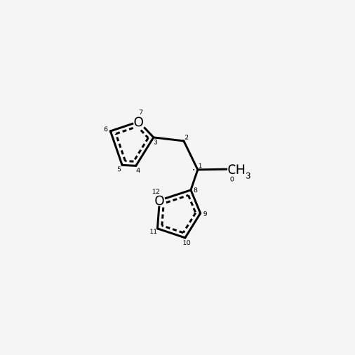 C[C](Cc1ccco1)c1ccco1